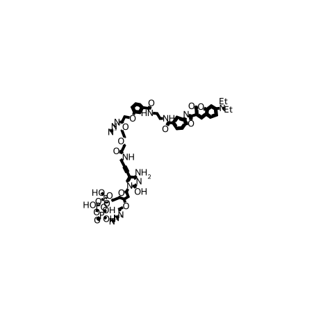 CCN(CC)c1ccc2cc(-c3nc4cc(C(=O)NCCNC(=O)c5cccc(OCC(N=[N+]=[N-])OCCOCC(=O)NCC#CC6=CN(C7CC(OCN=[N+]=[N-])C(COP(=O)(O)OP(=O)(O)OP(=O)(O)O)O7)C(O)N=C6N)c5)ccc4o3)c(=O)oc2c1